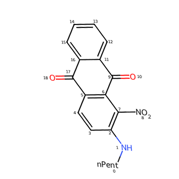 CCCCCNc1ccc2c(c1[N+](=O)[O-])C(=O)c1ccccc1C2=O